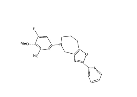 COc1c(F)cc(N2CCCc3oc(-c4ccccn4)nc3C2)cc1C#N